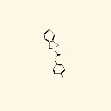 O=C(Oc1ccc(F)cc1)N1Cc2ccccc2C1